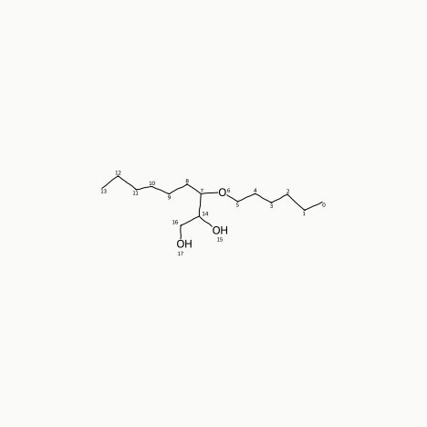 CCCCCCOC(CCCCCC)C(O)CO